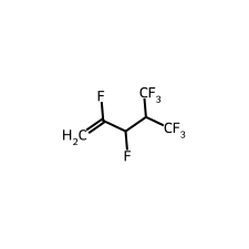 C=C(F)C(F)C(C(F)(F)F)C(F)(F)F